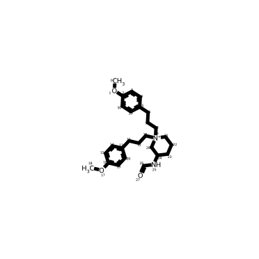 COc1ccc(CCC[N+]2(CCCc3ccc(OC)cc3)CCCC(NC=O)C2)cc1